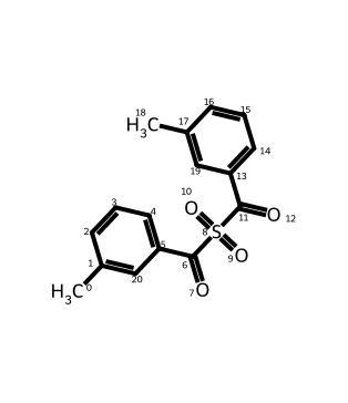 Cc1cccc(C(=O)S(=O)(=O)C(=O)c2cccc(C)c2)c1